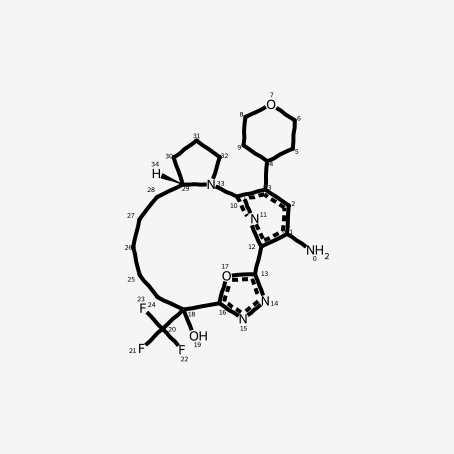 Nc1cc(C2CCOCC2)c2nc1-c1nnc(o1)C(O)(C(F)(F)F)CCCCC[C@@H]1CCCN21